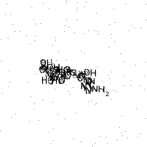 Nc1ncnc2c1ncn2[C@@H]1O[C@H](COP(O)OP(O)OP(O)OP(O)OC[C@H]2OC[C@H](O)[C@@H]2O)C[C@H]1O